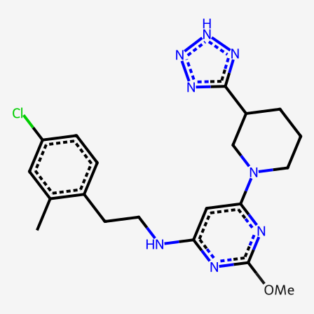 COc1nc(NCCc2ccc(Cl)cc2C)cc(N2CCCC(c3nn[nH]n3)C2)n1